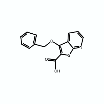 O=C(O)c1sc2ncccc2c1OCc1ccccc1